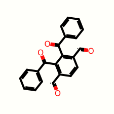 O=[C]c1ccc([C]=O)c(C(=O)c2ccccc2)c1C(=O)c1ccccc1